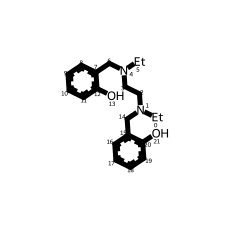 CCN(CCN(CC)Cc1ccccc1O)Cc1ccccc1O